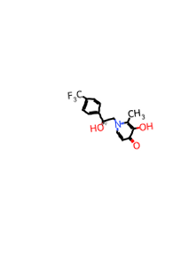 Cc1c(O)c(=O)ccn1C[C@H](O)c1ccc(C(F)(F)F)cc1